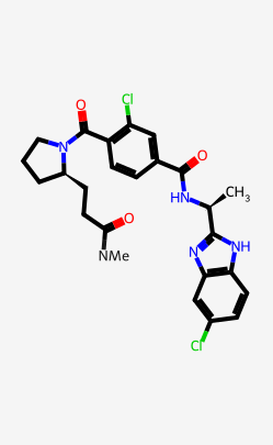 CNC(=O)CC[C@H]1CCCN1C(=O)c1ccc(C(=O)N[C@@H](C)c2nc3cc(Cl)ccc3[nH]2)cc1Cl